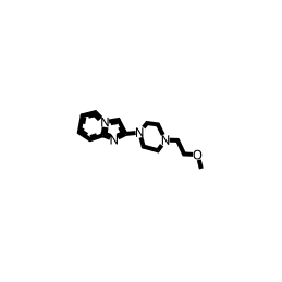 COCCN1CCN(c2cn3ccccc3n2)CC1